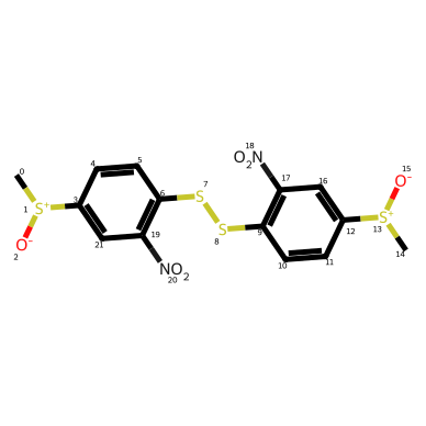 C[S+]([O-])c1ccc(SSc2ccc([S+](C)[O-])cc2[N+](=O)[O-])c([N+](=O)[O-])c1